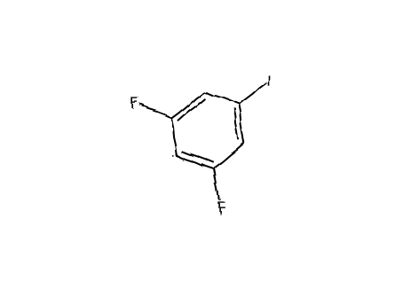 Fc1[c]c(F)cc(I)c1